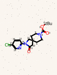 CC(C)(C)OC(=O)N1CCC2(CC1)CC(=O)N(c1ccc(Cl)cn1)C2